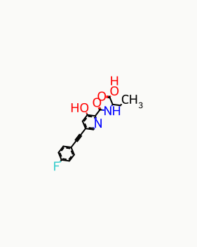 CCC(NC(=O)c1ncc(C#Cc2ccc(F)cc2)cc1O)C(=O)O